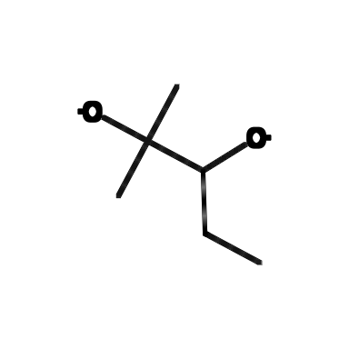 CCC([O])C(C)(C)[O]